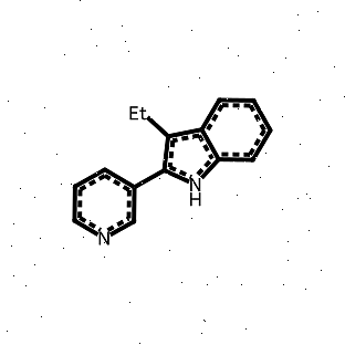 CCc1c(-c2cccnc2)[nH]c2ccccc12